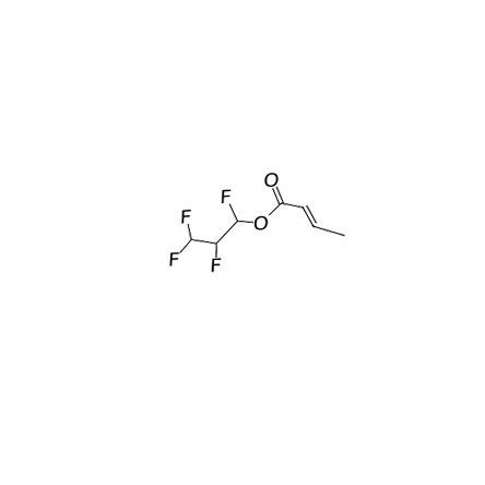 CC=CC(=O)OC(F)C(F)C(F)F